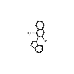 Cc1c(C2C=Cc3ccccc32)c(Br)cc2ccccc12